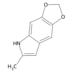 Cc1cc2cc3c(cc2[nH]1)OCO3